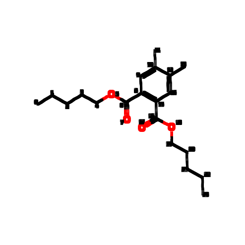 CCCCCOC(=O)c1cc(C)c(C)cc1C(=O)OCCCCC